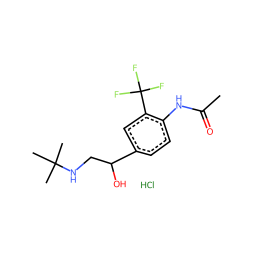 CC(=O)Nc1ccc(C(O)CNC(C)(C)C)cc1C(F)(F)F.Cl